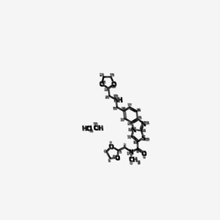 CN(CC1OCCO1)C(=O)c1cn2c(nc3ccc(CNCC4OCCO4)cc32)s1.Cl.Cl